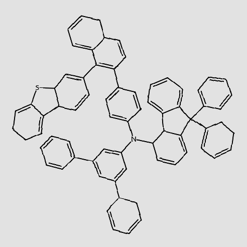 C1=CCCC(C2(c3ccccc3)C3=CC=CC(N(c4ccc(C5=C(C6=CC7SC8=CCCC=C8C7C=C6)C6=CC=CCC6C=C5)cc4)c4cc(-c5ccccc5)cc(C5C=CC=CC5)c4)C3c3ccccc32)=C1